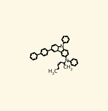 C=C/C=C\C(=C)N(c1ccccc1)c1ccc2c(c1)C1C=C(c3ccc(-c4ccccc4)cc3)C=CC1N2c1ccccc1